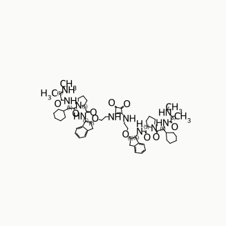 CN[C@@H](C)C(=O)N[C@H](C(=O)N1CCC[C@H]1C(=O)N[C@H]1c2ccccc2C[C@H]1OCCNc1c(NCCO[C@@H]2Cc3ccccc3[C@@H]2NC(=O)[C@@H]2CCCN2C(=O)[C@@H](NC(=O)[C@H](C)NC)C2CCCCC2)c(=O)c1=O)C1CCCCC1